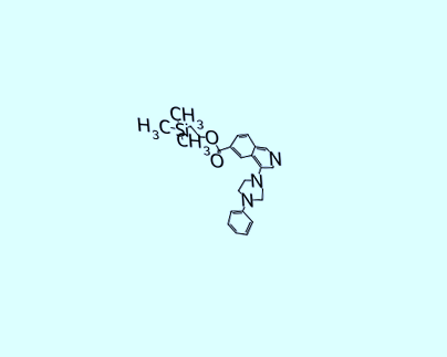 C[Si](C)(C)CCOC(=O)c1ccc2cncc(N3CCN(c4ccccc4)CC3)c2c1